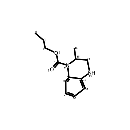 CCCOC(=O)N1c2ccccc2NCC1C